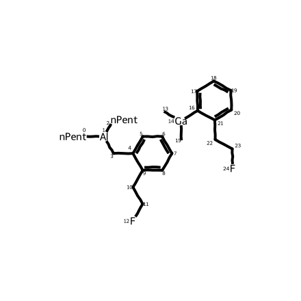 CCCC[CH2][Al]([CH2]CCCC)[CH2]c1ccccc1CCF.[CH3][Ga]([CH3])[c]1ccccc1CCF